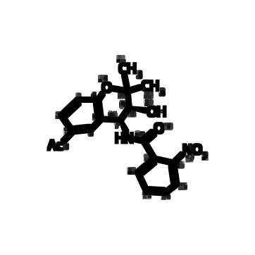 CC(=O)c1ccc2c(c1)[C@H](NC(=O)c1ccccc1[N+](=O)[O-])[C@H](O)C(C)(C)O2